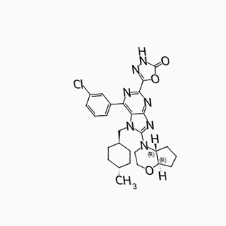 C[C@H]1CC[C@H](Cn2c(N3CCO[C@@H]4CCC[C@H]43)nc3nc(-c4n[nH]c(=O)o4)nc(-c4cccc(Cl)c4)c32)CC1